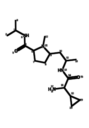 CC(C)NC(=O)C1CCC(CC(C)NC(=O)C(N)C2CC2)N1C